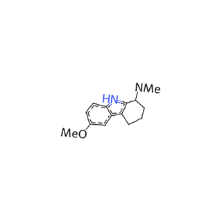 CNC1CCCc2c1[nH]c1ccc(OC)cc21